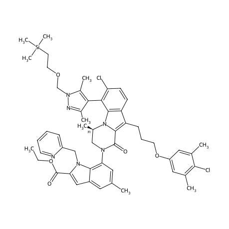 CCOC(=O)c1cc2cc(C)cc(N3C[C@@H](C)n4c(c(CCCOc5cc(C)c(Cl)c(C)c5)c5ccc(Cl)c(-c6c(C)nn(COCC[Si](C)(C)C)c6C)c54)C3=O)c2n1Cc1ccccn1